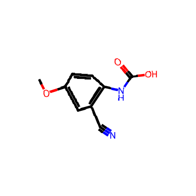 COc1ccc(NC(=O)O)c(C#N)c1